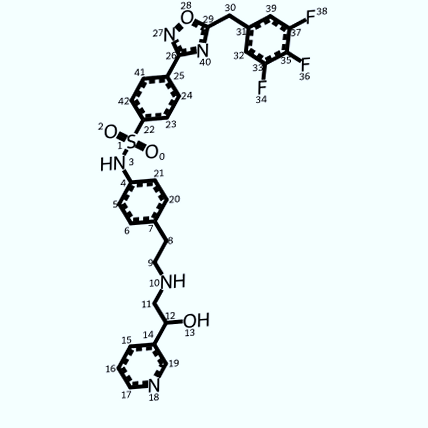 O=S(=O)(Nc1ccc(CCNCC(O)c2cccnc2)cc1)c1ccc(-c2noc(Cc3cc(F)c(F)c(F)c3)n2)cc1